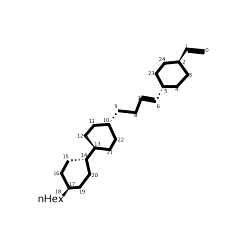 C=C[C@H]1CC[C@H](C=CCC[C@H]2CC[C@H]([C@H]3CC[C@H](CCCCCC)CC3)CC2)CC1